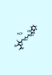 C=C(F)c1sc(CNCCCNc2nc3ncccc3[nH]2)c(C)c1Br.Cl